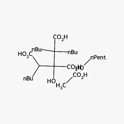 CC(=O)O.CCCCC(C(=O)O)C(O)(C(=O)O)C(CCCC)(CCCC)C(=O)O.CCCCCO